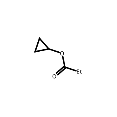 [CH2]CC(=O)OC1CC1